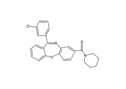 O=C(c1ccc2c(c1)N=C(c1cccc(Cl)c1)c1ccccc1S2)N1CCCCC1